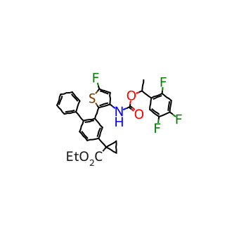 CCOC(=O)C1(c2ccc(-c3ccccc3)c(-c3sc(F)cc3NC(=O)OC(C)c3cc(F)c(F)cc3F)c2)CC1